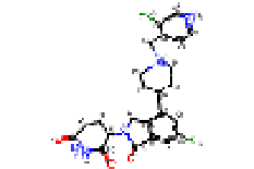 O=C1CCC(N2Cc3c(cc(F)cc3C3CCN(Cc4ccncc4Cl)CC3)C2=O)C(=O)N1